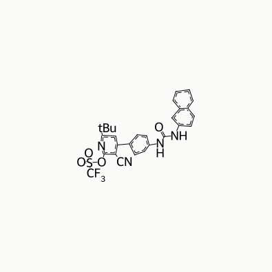 CC(C)(C)c1cc(-c2ccc(NC(=O)Nc3ccc4ccccc4c3)cc2)c(C#N)c(OS(=O)(=O)C(F)(F)F)n1